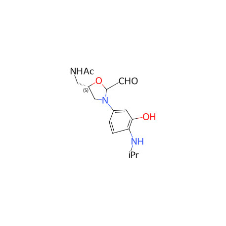 CC(=O)NC[C@H]1CN(c2ccc(NC(C)C)c(O)c2)C(C=O)O1